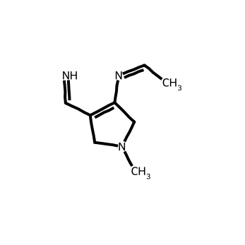 C/C=N\C1=C(C=N)CN(C)C1